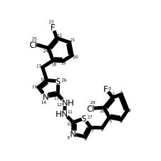 Fc1cccc(Cc2cnc(NNc3ncc(Cc4cccc(F)c4Cl)s3)s2)c1Cl